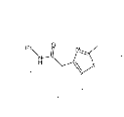 Cc1nc(CC(=O)NC(C)C)cs1